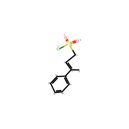 CC(=CCS(=O)(=O)Cl)c1ccccc1